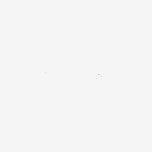 C/C=C/CCC1CCC(/C=C/CCC2CCC(C3CCC(c4ccc(OCC)c(F)c4F)CC3)CC2)CC1